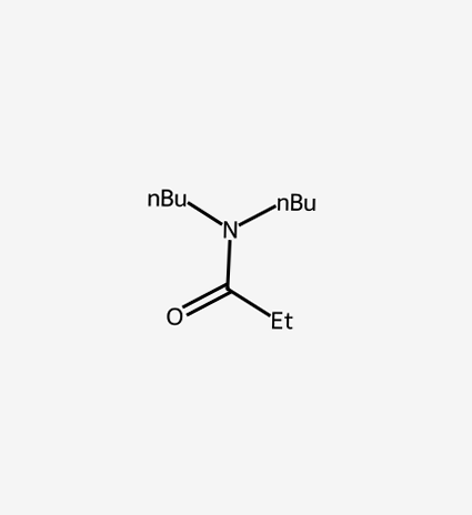 [CH2]CC(=O)N(CCCC)CCCC